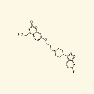 O=c1cc(CO)c2ccc(OCCCN3CCC(c4noc5cc(F)ccc45)CC3)cc2o1